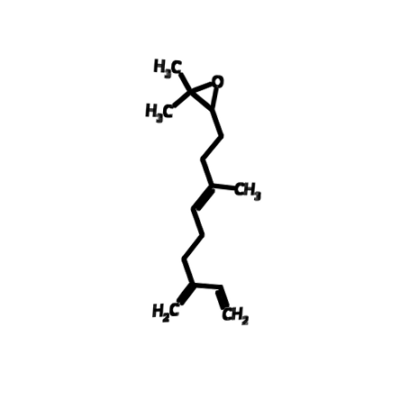 C=CC(=C)CC/C=C(\C)CCC1OC1(C)C